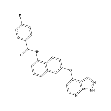 O=C(Nc1cccc2cc(Oc3ccnc4[nH]ncc34)ccc12)c1ccc(F)cc1